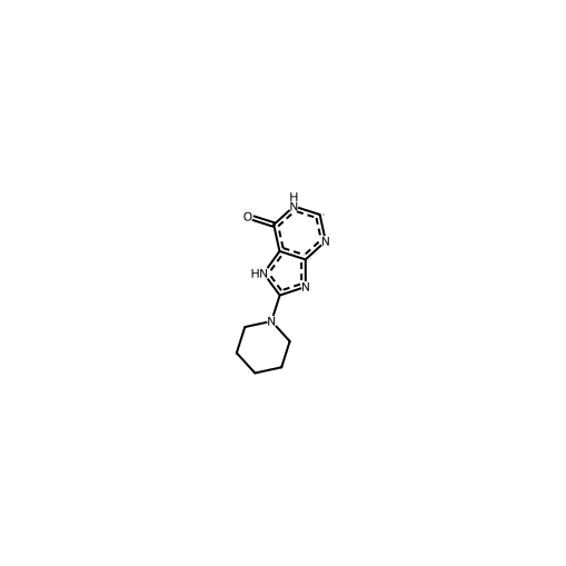 O=c1[nH][c]nc2nc(N3CCCCC3)[nH]c12